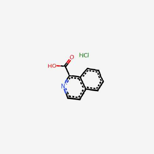 Cl.O=C(O)c1nccc2ccccc12